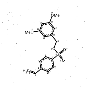 C=Cc1ccc(S(=O)(=O)OCc2cc(OC)cc(OC)c2)cc1